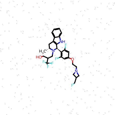 C[C@@H]1Cc2c([nH]c3ccccc23)[C@@H](c2c(F)cc(OCCN3CC(CF)C3)cc2F)N1CC(CO)C(F)(F)F